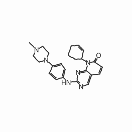 CN1CCN(c2ccc(Nc3ncc4ccc(=O)n(C5C=CCCC5)c4n3)cc2)CC1